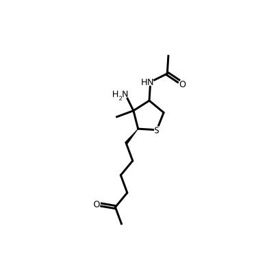 CC(=O)CCCC[C@@H]1SCC(NC(C)=O)C1(C)N